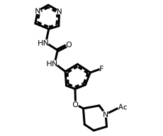 CC(=O)N1CCCC(Oc2cc(F)cc(NC(=O)Nc3cncnc3)c2)C1